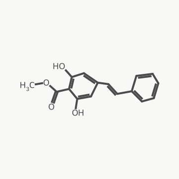 COC(=O)c1c(O)cc(C=Cc2ccccc2)cc1O